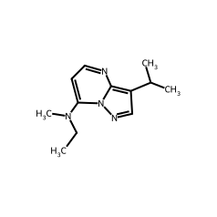 CCN(C)c1ccnc2c(C(C)C)cnn12